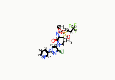 CCN(C(=O)/C(CS(=O)(=O)CCC(F)(F)F)=N/OC)c1cn(-c2cccnc2)nc1Cl